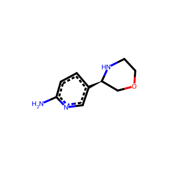 Nc1ccc([C@@H]2COCCN2)cn1